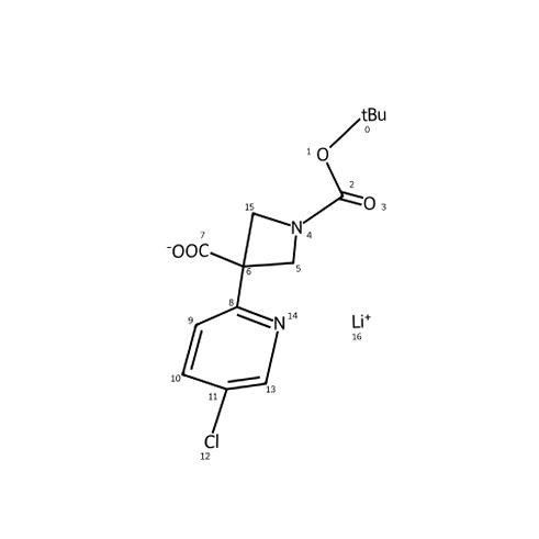 CC(C)(C)OC(=O)N1CC(C(=O)[O-])(c2ccc(Cl)cn2)C1.[Li+]